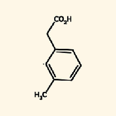 Cc1[c]c(CC(=O)O)ccc1